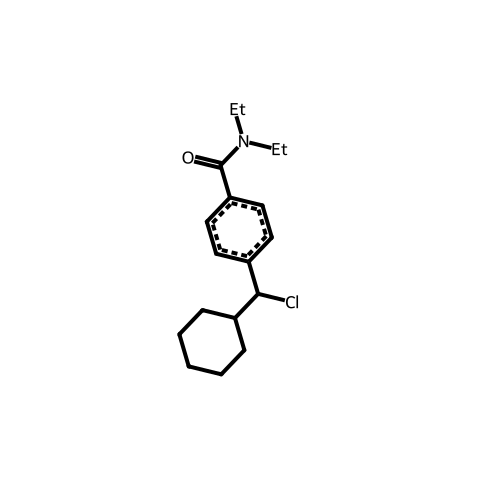 CCN(CC)C(=O)c1ccc(C(Cl)C2CCCCC2)cc1